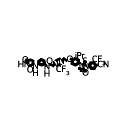 CC(C)c1cc(N2C(=S)N(c3ccc(C#N)c(C(F)(F)F)c3)C(=O)C2(C)C)ccc1OCCN1CCN(CC(=O)Nc2cccc(NC3CCC(=O)NC3=O)c2)C(C(F)(F)F)C1